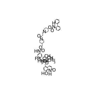 CC(C)(C)[Si](C)(C)O[C@@H](CNCc1ccc(NC(=O)OCC2CCN(C(=O)CCN3CCC(OC(=O)Nc4ccccc4-c4ccccc4)CC3)CC2)cc1F)c1ccc(O)c2[nH]c(=O)ccc12